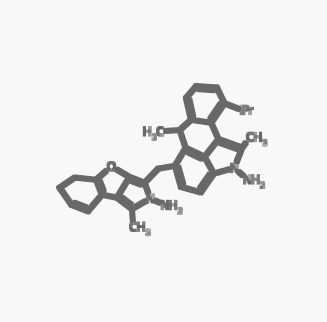 Cc1c2c3c(oc2c(Cc2ccc4c5c(c(C)n4N)-c4c(C(C)C)cccc4C(C)c25)n1N)CCC=C3